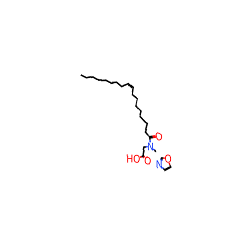 C1=NCCO1.CCCCCCCC/C=C\CCCCCCCC(=O)N(C)CC(=O)O